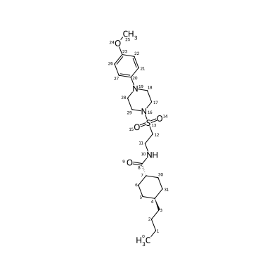 CCCC[C@H]1CC[C@H](C(=O)NCCS(=O)(=O)N2CCN(c3ccc(OC)cc3)CC2)CC1